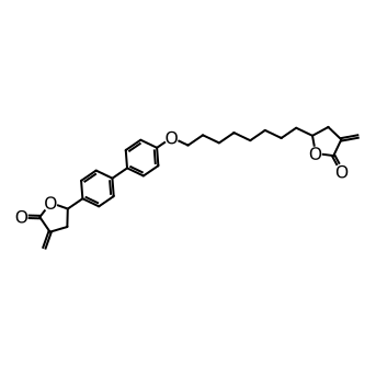 C=C1CC(CCCCCCCCOc2ccc(-c3ccc(C4CC(=C)C(=O)O4)cc3)cc2)OC1=O